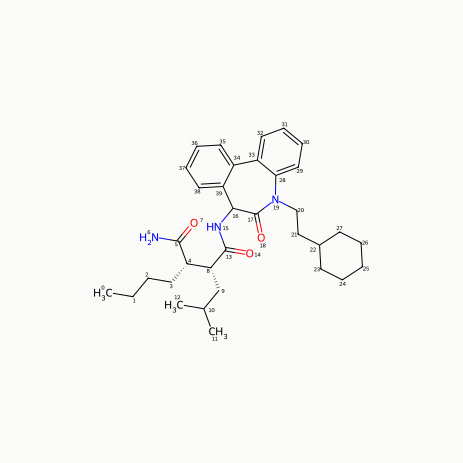 CCCC[C@H](C(N)=O)[C@@H](CC(C)C)C(=O)NC1C(=O)N(CCC2CCCCC2)c2ccccc2-c2ccccc21